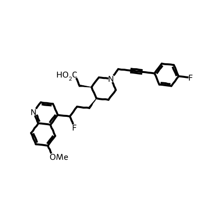 COc1ccc2nccc(C(F)CC[C@@H]3CCN(CC#Cc4ccc(F)cc4)C[C@@H]3CC(=O)O)c2c1